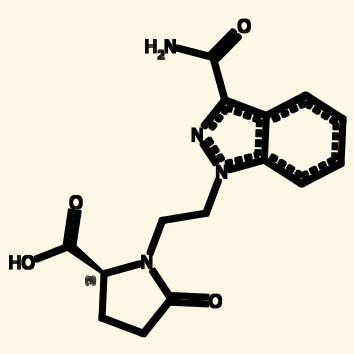 NC(=O)c1nn(CCN2C(=O)CC[C@H]2C(=O)O)c2ccccc12